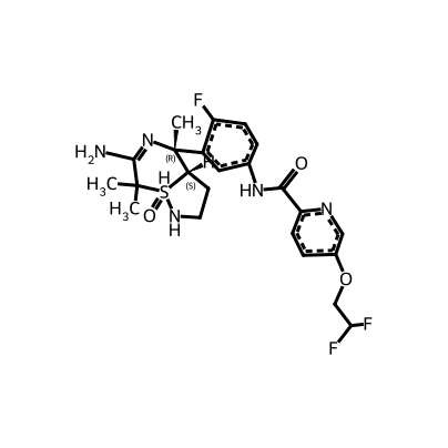 CC1(C)C(N)=N[C@](C)(c2cc(NC(=O)c3ccc(OCC(F)F)cn3)ccc2F)[C@@H]2CCN[SH]21=O